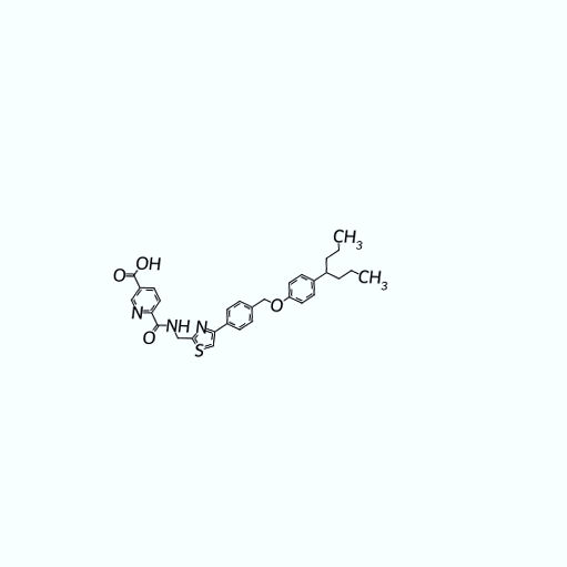 CCCC(CCC)c1ccc(OCc2ccc(-c3csc(CNC(=O)c4ccc(C(=O)O)cn4)n3)cc2)cc1